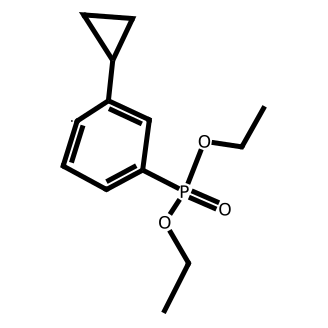 CCOP(=O)(OCC)c1cc[c]c(C2CC2)c1